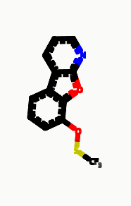 FC(F)(F)SOc1cccc2c1oc1ncccc12